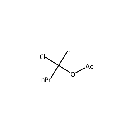 [CH2]C(Cl)(CCC)OC(C)=O